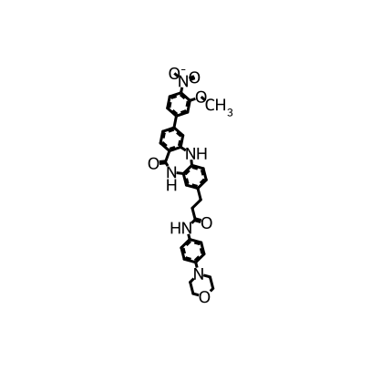 COc1cc(-c2ccc3c(c2)Nc2ccc(CCC(=O)Nc4ccc(N5CCOCC5)cc4)cc2NC3=O)ccc1[N+](=O)[O-]